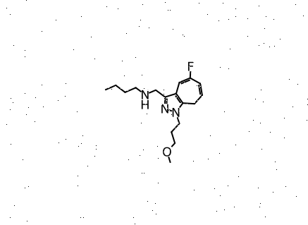 CCCCNCc1nn(CCCOC)c2c1C=C(F)C=CC2